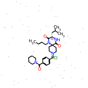 CCCCN1C(=O)[C@H](CC(C)C)NC(=O)C12CCN(Cc1ccc(C(=O)N3CCCCC3)cc1)CC2.Cl